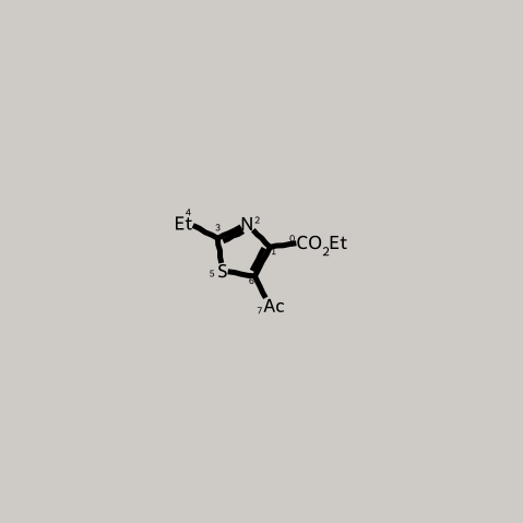 CCOC(=O)c1nc(CC)sc1C(C)=O